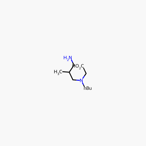 CCCCN(CC(=O)O)CC(C)CN